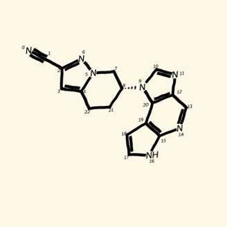 N#Cc1cc2n(n1)C[C@H](n1cnc3cnc4[nH]ccc4c31)CC2